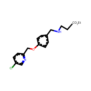 CCOC(=O)CCNCc1ccc(OCc2ccc(Cl)cn2)cc1